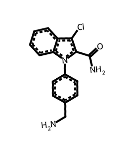 NCc1ccc(-n2c(C(N)=O)c(Cl)c3ccccc32)cc1